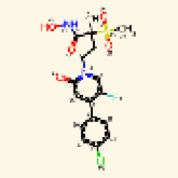 C[C@@](CCn1cc(F)c(-c2ccc(Cl)cc2)cc1=O)(C(=O)NO)S(C)(=O)=O